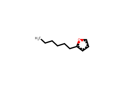 CCCCCCc1[c]cco1